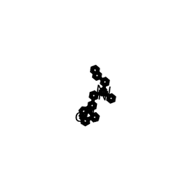 c1ccc(-c2nc(-c3cccc(-c4ccc5ccccc5c4)c3)nc(-c3cccc(-c4ccc5c(c4)c4ccc6oc7cccc8c9ccccc9n5c4c6c78)c3)n2)cc1